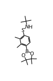 Cc1c(SNC(C)(C)C)ccc(B2OC(C)(C)C(C)(C)O2)c1C